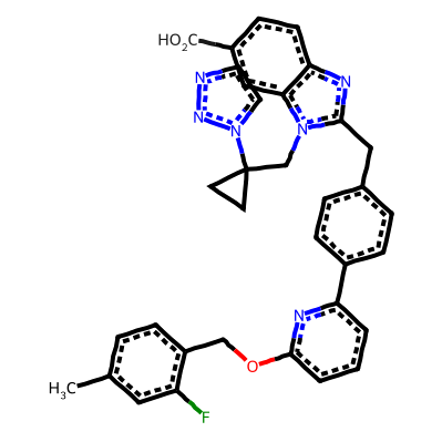 Cc1ccc(COc2cccc(-c3ccc(Cc4nc5ccc(C(=O)O)cc5n4CC4(n5ccnn5)CC4)cc3)n2)c(F)c1